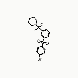 O=S(=O)(c1ccc(Br)cc1)c1cccc(S(=O)(=O)N2CCCCC2)c1